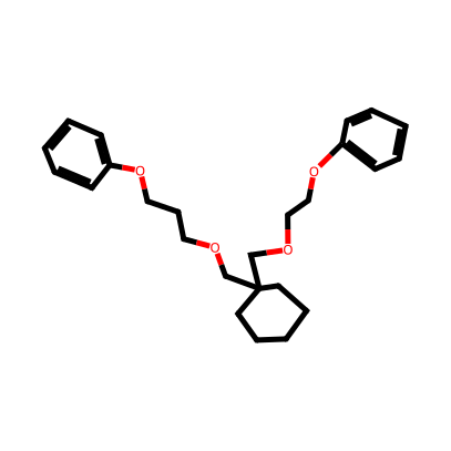 c1ccc(OCCCOCC2(COCCOc3ccccc3)CCCCC2)cc1